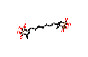 CC(C)S(=O)(=O)S(=O)(=O)CCCCCCCCCCS(=O)(=O)S(=O)(=O)C(C)C